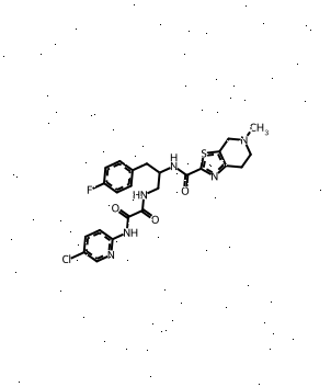 CN1CCc2nc(C(=O)NC(CNC(=O)C(=O)Nc3ccc(Cl)cn3)Cc3ccc(F)cc3)sc2C1